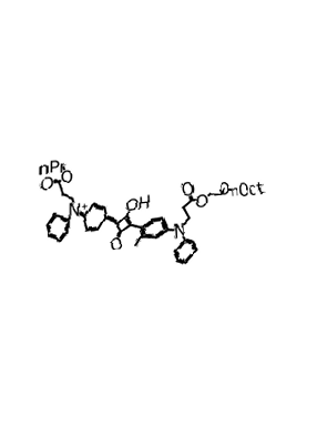 CCCCCCCCOCCOC(=O)CCN(c1ccccc1)c1ccc(C2=C(O)C(=C3C=CC(=[N+](CCC(=O)OCCC)c4ccccc4)C=C3)C2=O)c(C)c1